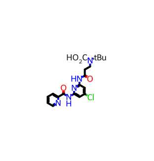 CC(C)(C)N(CCC(=O)Nc1cc(Cl)cc(NC(=O)c2ccccn2)n1)C(=O)O